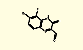 O=Cc1nc2ccc(Br)c(F)c2[nH]c1=O